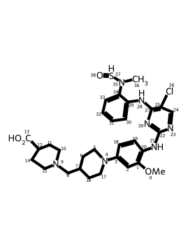 COc1cc(N2CCC(CN3CCC(C(=O)O)CC3)CC2)ccc1Nc1ncc(Cl)c(Nc2ccccc2N(C)[SH]=O)n1